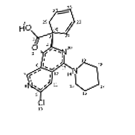 O=C(O)[C@@]1(c2cc3cnc(Cl)cc3c(N3CCCCC3)n2)C=CC=CC1